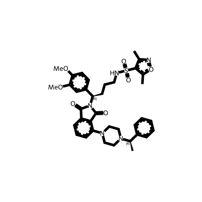 COc1ccc([C@@H](CCCNS(=O)(=O)c2c(C)noc2C)N2C(=O)c3cccc(N4CCN([C@H](C)c5ccccc5)CC4)c3C2=O)cc1OC